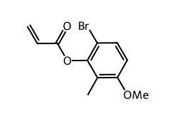 C=CC(=O)Oc1c(Br)ccc(OC)c1C